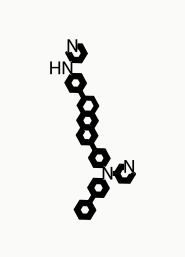 C1=C(c2ccc(Nc3cccnc3)cc2)CCc2cc3cc(-c4ccc(N(c5ccc(-c6ccccc6)cc5)c5cccnc5)cc4)ccc3cc21